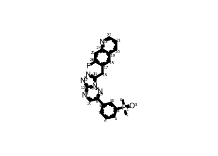 CP(C)(=O)c1cccc(-c2cnc3nnc(Cc4cc5cccnc5cc4F)n3n2)c1